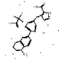 CN1CCCc2cc(-c3ccc(Sc4nn[nH]c4C(=O)O)cc3)ccc21.O=C(O)C(F)(F)F